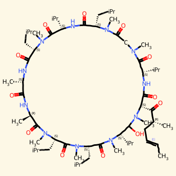 C/C=C/C[C@@H](C)C(=O)[C@H]1C(=O)N[C@@H](C(C)C)C(=O)N(C)CC(=O)N(C)[C@@H](CC(C)C)C(=O)N[C@@H](C(C)C)C(=O)N(C)[C@@H](CC(C)C)C(=O)N[C@@H](C)C(=O)N[C@H](C)C(=O)N(C)[C@@H](CC(C)C)C(=O)N(C)[C@@H](CC(C)C)C(=O)N(C)[C@@H](C(C)C)C(O)N1C